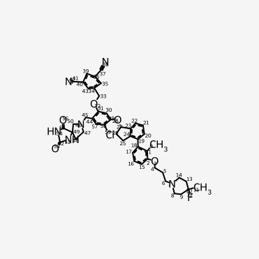 Cc1c(OCCCN2CCC(C)(F)CC2)cccc1-c1cccc2c1CC[C@@H]2Oc1cc(OCc2cc(C#N)cc(C#N)c2)c(CN2CCC3(C2)NC(=O)NC3=O)cc1Cl